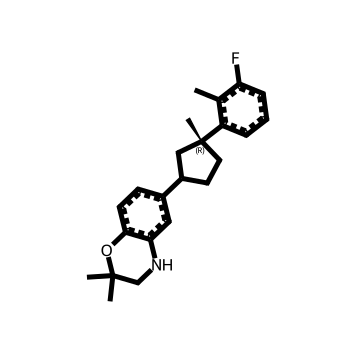 Cc1c(F)cccc1[C@]1(C)CCC(c2ccc3c(c2)NCC(C)(C)O3)C1